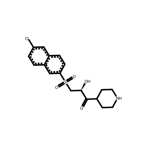 O=C(C1CCNCC1)[C@H](O)CS(=O)(=O)c1ccc2cc(Cl)ccc2c1